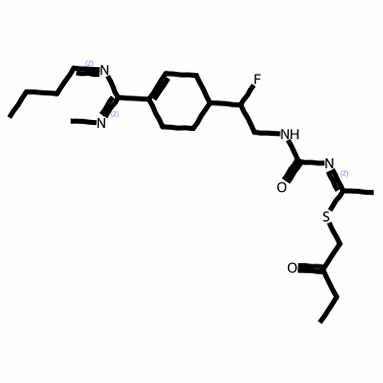 CCC/C=N\C(=N/C)C1=CCC(C(F)CNC(=O)/N=C(/C)SCC(=O)CC)CC1